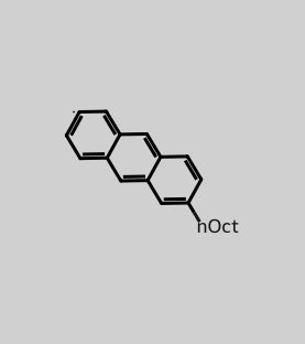 CCCCCCCCc1ccc2cc3c[c]ccc3cc2c1